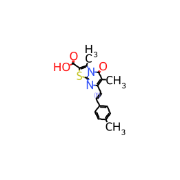 Cc1ccc(/C=C/c2nc3sc(C(=O)O)c(C)n3c(=O)c2C)cc1